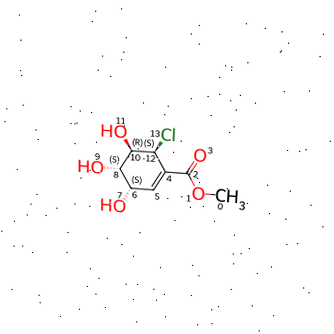 COC(=O)C1=C[C@H](O)[C@H](O)[C@@H](O)[C@H]1Cl